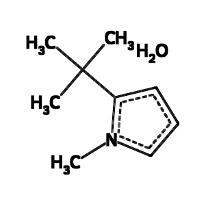 Cn1cccc1C(C)(C)C.O